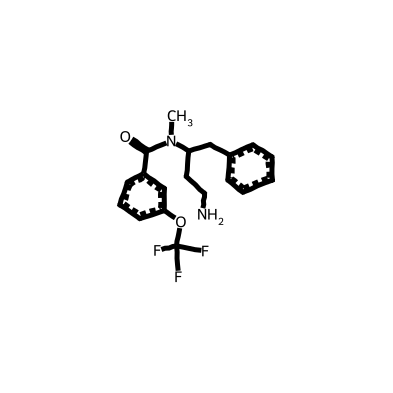 CN(C(=O)c1cccc(OC(F)(F)F)c1)C(CCN)Cc1ccccc1